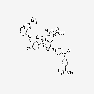 CS(=O)(=O)O.Cc1cn2cccc(OCc3c(Cl)ccc(S(=O)(=O)N4CCC[C@H]4C(=O)N4CCN(C(=O)c5ccc(C(=N)N)cc5)CC4)c3Cl)c2n1